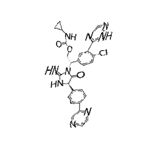 N=C1N[C@H](c2ccc(-c3cnccn3)cc2)C(=O)N1[C@H](COC(=O)NC1CC1)c1ccc(Cl)c(-c2ncn[nH]2)c1